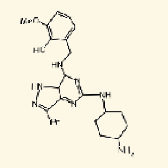 COc1cccc(CNC2N=C(NC3CCC(N)CC3)N=C3C(C(C)C)=NNC32)c1O